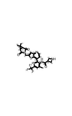 Cc1cc(C(F)(F)F)nc(-c2ccnc3cc(CN4C(=O)C5C(C4=O)C5(C)C)sc23)c1NC(=O)C1CNC1